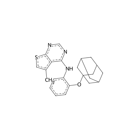 Cc1csc2ncnc(Nc3ccccc3OC34CC5CC(CC(C5)C3)C4)c12